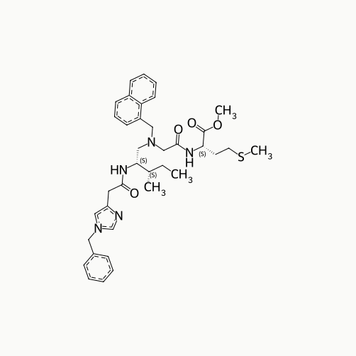 CC[C@H](C)[C@@H](CN(CC(=O)N[C@@H](CCSC)C(=O)OC)Cc1cccc2ccccc12)NC(=O)Cc1cn(Cc2ccccc2)cn1